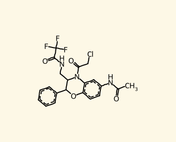 CC(=O)Nc1ccc2c(c1)N(C(=O)CCl)C(CNC(=O)C(F)(F)F)C(c1ccccc1)O2